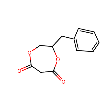 O=C1CC(=O)OC(Cc2ccccc2)CO1